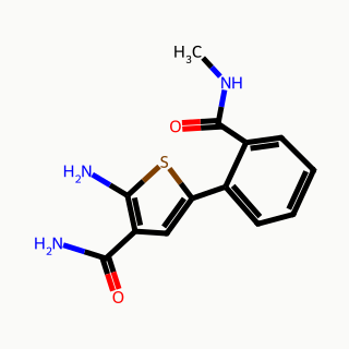 CNC(=O)c1ccccc1-c1cc(C(N)=O)c(N)s1